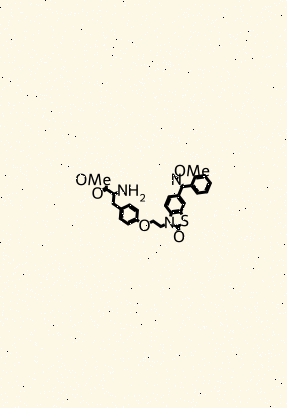 CON=C(c1ccccc1)c1ccc2c(c1)sc(=O)n2CCOc1ccc(CC(N)C(=O)OC)cc1